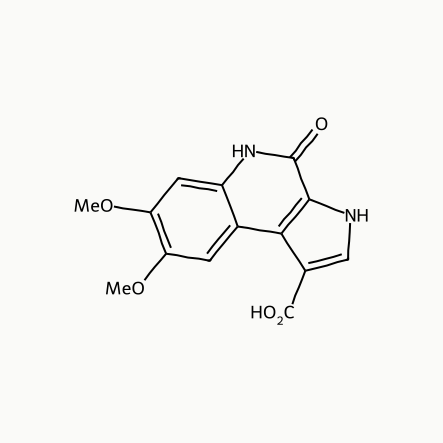 COc1cc2[nH]c(=O)c3[nH]cc(C(=O)O)c3c2cc1OC